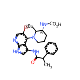 CC(C(=O)Nc1c[nH]c2ncc(Br)c(N3CCC[C@@H](NC(=O)O)C3C(C)(C)C)c12)c1ccccc1